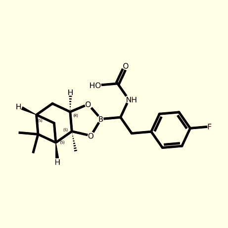 CC1(C)[C@@H]2C[C@H]3OB(C(Cc4ccc(F)cc4)NC(=O)O)O[C@@]3(C)[C@H]1C2